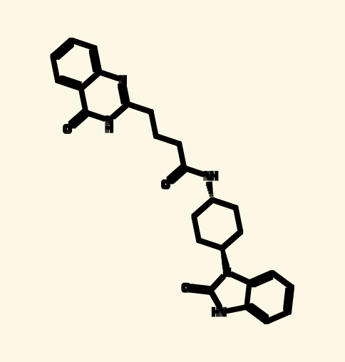 O=C(CCCc1nc2ccccc2c(=O)[nH]1)N[C@H]1CC[C@H](n2c(=O)[nH]c3ccccc32)CC1